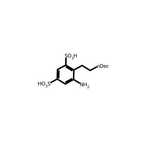 CCCCCCCCCCCCc1c(N)cc(S(=O)(=O)O)cc1S(=O)(=O)O